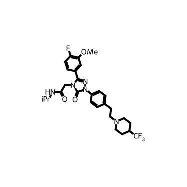 COc1cc(-c2nn(-c3ccc(CCN4CCC(C(F)(F)F)CC4)cc3)c(=O)n2CC(=O)NC(C)C)ccc1F